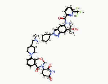 CN(CC1CCN(c2cccc3c2COCN(C2CCC(=O)NC2=O)C3=O)CC1)C[C@H]1CC[C@H](n2cc3cc(NC(=O)c4cccc(C(F)(F)F)n4)c(C(C)(C)O)cc3n2)CC1